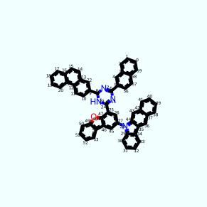 c1ccc2cc(C3=NC(c4ccc5c(ccc6ccccc65)c4)NC(c4cc(-n5c6ccccc6c6cc7ccccc7cc65)cc5c4oc4ccccc45)=N3)ccc2c1